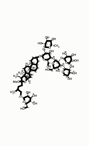 COC1(CCC(C)CO[C@H]2O[C@H](CO)[C@@H](O)[C@H](O)[C@H]2O)O[C@H]2C[C@H]3[C@@H]4CCC5CC(O[C@H]6O[C@H](CO)[C@H](O[C@H]7O[C@H](CO)[C@@H](O)[C@H](O[C@H]8OC[C@@H](O)[C@H](O)[C@H]8O)[C@H]7O[C@H]7OC[C@@H](O)[C@H](O)[C@H]7O)[C@H](O)[C@H]6O[C@@H]6O[C@@H](C)[C@H](O)[C@@H](O)[C@H]6O)CC[C@]5(C)[C@H]4CC[C@]3(C)[C@H]2[C@@H]1C